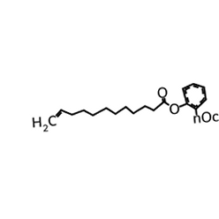 C=CCCCCCCCCCC(=O)Oc1ccccc1CCCCCCCC